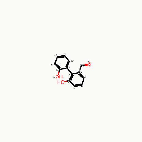 O=Cc1cccc(O)c1-c1ccccc1O